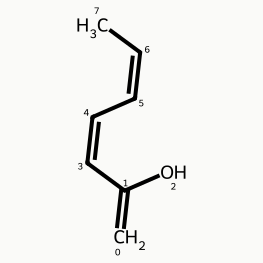 C=C(O)/C=C\C=C/C